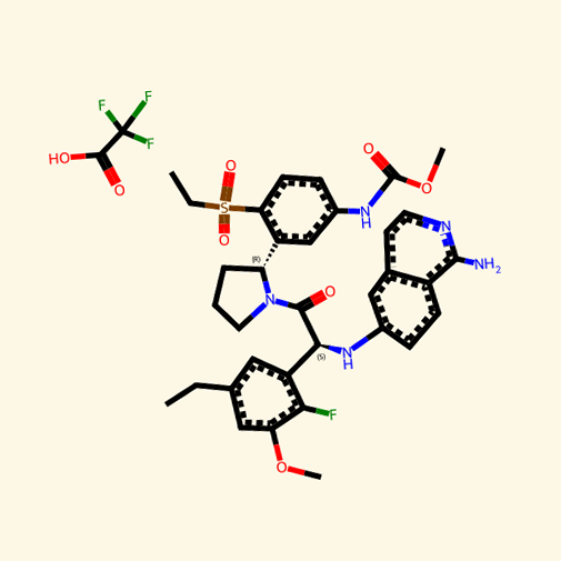 CCc1cc(OC)c(F)c([C@H](Nc2ccc3c(N)nccc3c2)C(=O)N2CCC[C@@H]2c2cc(NC(=O)OC)ccc2S(=O)(=O)CC)c1.O=C(O)C(F)(F)F